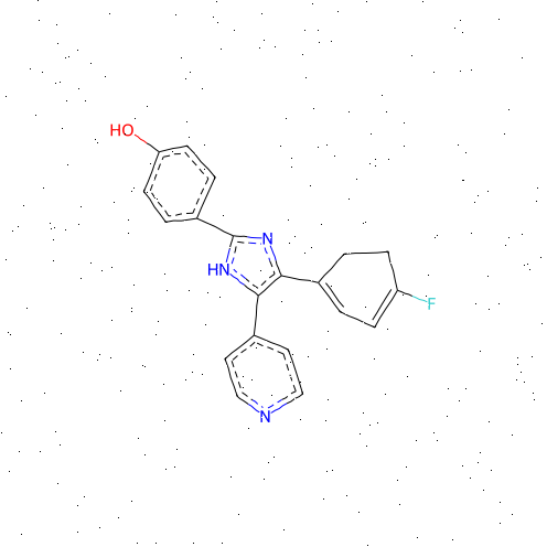 Oc1ccc(-c2nc(C3=CC=C(F)CC3)c(-c3ccncc3)[nH]2)cc1